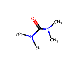 CCCN(CC)C(=O)N(C)C